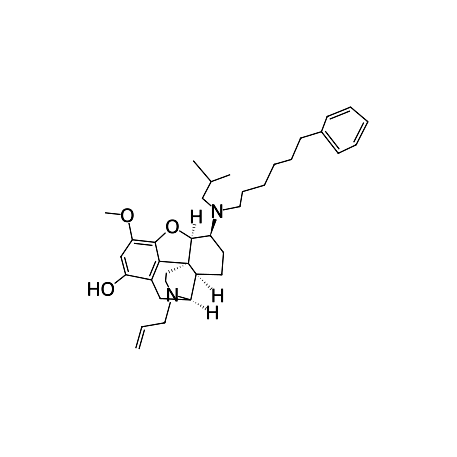 C=CCN1CC[C@]23c4c5c(O)cc(OC)c4O[C@H]2[C@@H](N(CCCCCCc2ccccc2)CC(C)C)CC[C@H]3[C@H]1C5